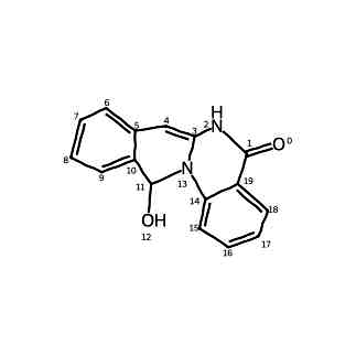 O=C1NC2=Cc3ccccc3C(O)N2c2ccccc21